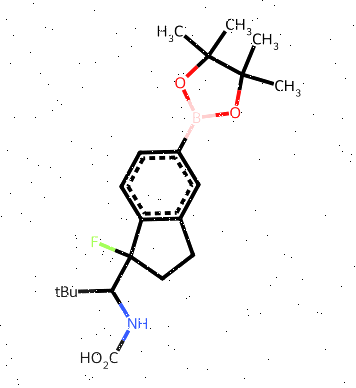 CC(C)(C)C(NC(=O)O)C1(F)CCc2cc(B3OC(C)(C)C(C)(C)O3)ccc21